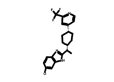 CC(c1nc2ccc(Cl)cc2[nH]1)[C@H]1CC[C@@H](c2ccnc(C(F)(F)F)c2)CC1